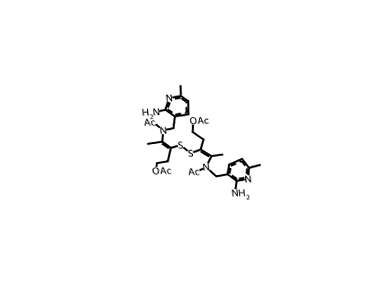 CC(=O)OCC/C(SS/C(CCOC(C)=O)=C(/C)N(Cc1ccc(C)nc1N)C(C)=O)=C(\C)N(Cc1ccc(C)nc1N)C(C)=O